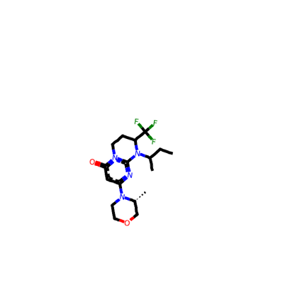 CCC(C)N1c2nc(N3CCOC[C@H]3C)cc(=O)n2CCC1C(F)(F)F